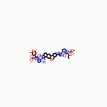 CC[C@H](C)C(NC(=O)OC)C(=O)N1[C@@H](C)CC[C@H]1c1ncc(-c2ccc3c(c2)COc2cc4c(ccc5nc([C@@H]6CC[C@H](C)N6C(=O)[C@@H](NC(=O)OC)C6C[C@@H](C)O[C@H](C)C6)[nH]c54)cc2-3)[nH]1